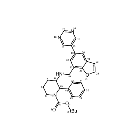 CC(C)(C)OC(=O)N1CCCC(NCc2cc(-c3cncnc3)cc3ccoc23)C1c1ccccc1